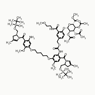 COCCNC(=O)c1cc(COC(=O)Nc2cc(OCCCCCOc3cc(N)c(C(=O)N4C=C(C)C[C@H]4CO[Si](C)(C)C(C)(C)C)cc3OC)c(OC)cc2C(=O)N2C=C(C)CC2CO[Si](C)(C)C(C)(C)C)ccc1O[C@@H]1O[C@H](C(=O)OC)[C@@H](OC(C)=O)[C@H](OC(C)=O)[C@H]1OC(C)=O